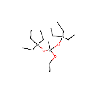 CCO[Si](C)(O[Si](CC)(CC)CC)O[Si](CC)(CC)CC